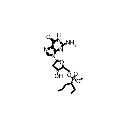 CCCC(CC)P(=O)(OC)OCC1O[C@@H](n2cnc3c(=O)[nH]c(N)nc32)C[C@H]1O